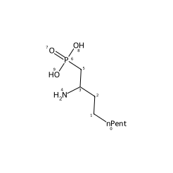 CCCCCCCC(N)CP(=O)(O)O